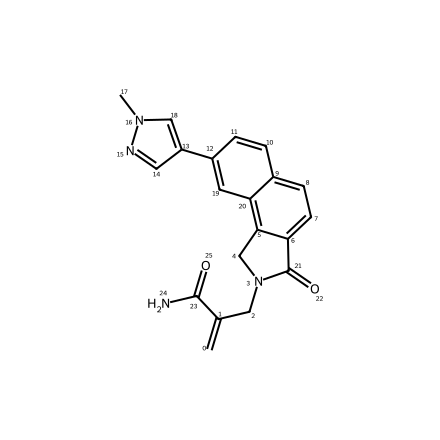 C=C(CN1Cc2c(ccc3ccc(-c4cnn(C)c4)cc23)C1=O)C(N)=O